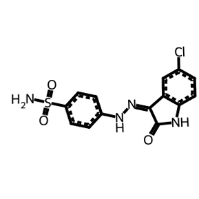 NS(=O)(=O)c1ccc(N/N=C2\C(=O)Nc3ccc(Cl)cc32)cc1